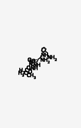 CC(C)(C)OC(=O)NC(=N[N+](=O)[O-])NCCC[C@H](N)CNc1ccccc1CCN